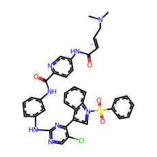 CN(C)C/C=C/C(=O)Nc1ccc(C(=O)Nc2cccc(Nc3ncc(Cl)c(-c4cn(S(=O)(=O)c5ccccc5)c5ccccc45)n3)c2)nc1